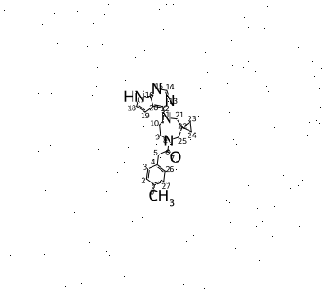 Cc1ccc(CC(=O)N2CCN(c3ncnc4[nH]ccc34)CC3(CC3)C2)cc1